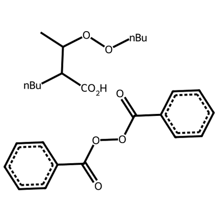 CCCCOOC(C)C(CCCC)C(=O)O.O=C(OOC(=O)c1ccccc1)c1ccccc1